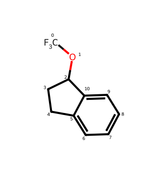 FC(F)(F)OC1CCc2ccccc21